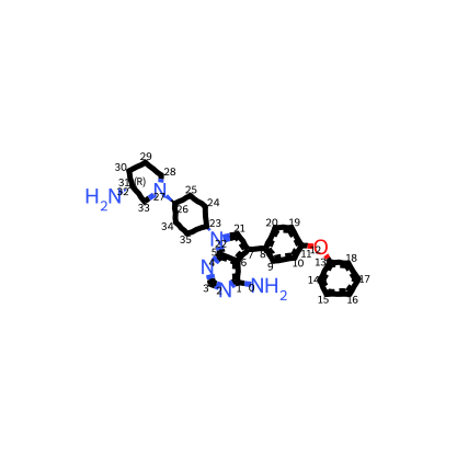 Nc1ncnc2c1c(-c1ccc(Oc3ccccc3)cc1)cn2[C@H]1CC[C@H](N2CCC[C@@H](N)C2)CC1